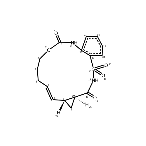 O=C1CCCC/C=C/[C@H]2C[C@@H]2C(=O)NS(=O)(=O)c2ccccc2N1